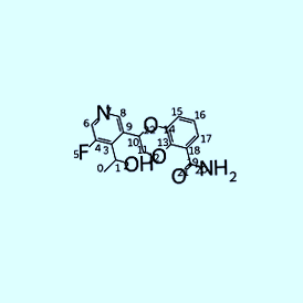 CC(O)c1c(F)cncc1C1COc2c(cccc2C(N)=O)O1